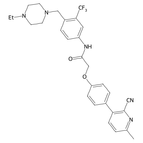 CCN1CCN(Cc2ccc(NC(=O)COc3ccc(-c4ccc(C)nc4C#N)cc3)cc2C(F)(F)F)CC1